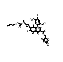 C=CCOC(=O)N(C)C1CN(c2c(F)c(C)c3c(=O)c(C(=O)OCc4oc(=O)oc4C)cn(-c4cc(N)c(F)cc4CO)c3c2C)C1